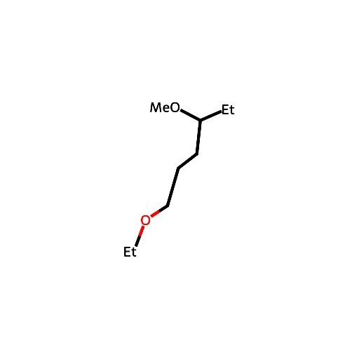 [CH2]CC(CCCOCC)OC